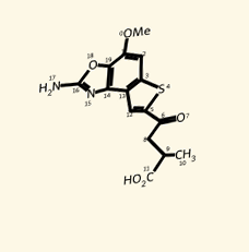 COc1cc2sc(C(=O)CC(C)C(=O)O)cc2c2nc(N)oc12